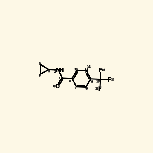 O=C(NC1CC1)c1ccc(C(F)(F)F)nc1